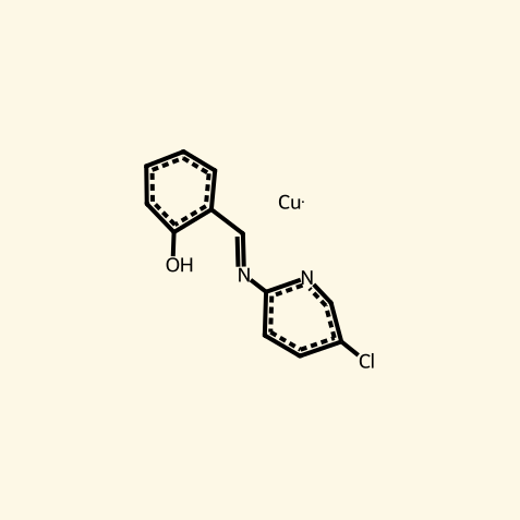 Oc1ccccc1C=Nc1ccc(Cl)cn1.[Cu]